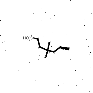 C=CCC(C)(C)CCS(=O)(=O)O